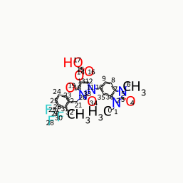 CCn1c(=O)n(C)c2ccc(-n3cc(OC(=O)O)c(=O)n(Cc4cccc(C(F)(F)F)c4C)c3=O)cc21